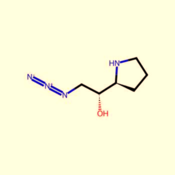 [N-]=[N+]=NC[C@@H](O)[C@@H]1CCCN1